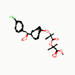 COC(=O)C(C)(C)OC(=O)C(C)(C)Oc1ccc(C(=O)c2ccc(Cl)cc2)cc1